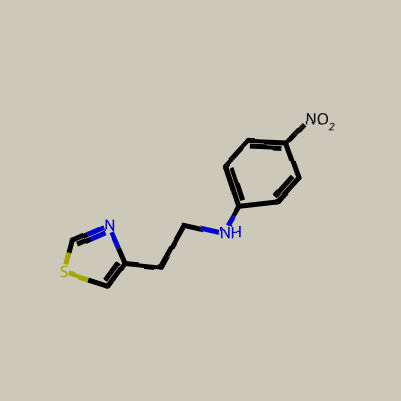 O=[N+]([O-])c1ccc(NCCc2cscn2)cc1